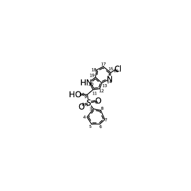 O=S(=O)(c1ccccc1)C(O)c1cc2nc(Cl)ccc2[nH]1